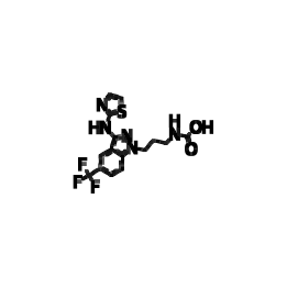 O=C(O)NCCCn1nc(Nc2nccs2)c2cc(C(F)(F)F)ccc21